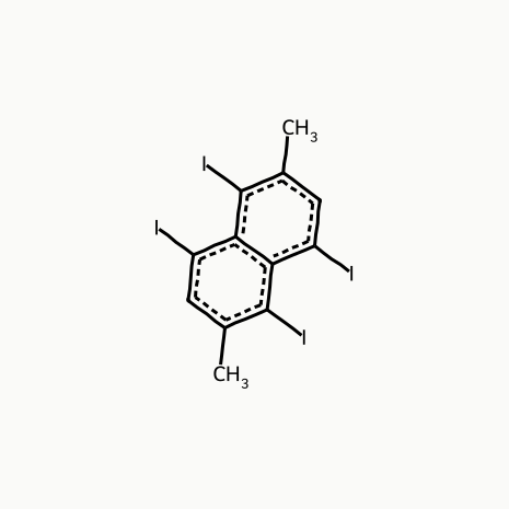 Cc1cc(I)c2c(I)c(C)cc(I)c2c1I